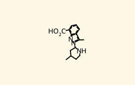 Cc1c2cccc(C(=O)O)c2nn1C1CC(C)CCN1